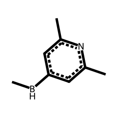 CBc1cc(C)nc(C)c1